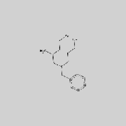 CC(=O)CCC(C)CN(CCCO)Cc1ccccc1